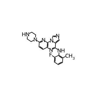 Cc1cccc(F)c1Nc1nc2ccc(N3CCNCC3)nc2n2cncc12